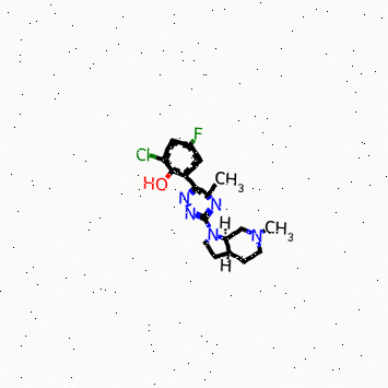 Cc1nc(N2CC[C@@H]3CCN(C)C[C@@H]32)nnc1-c1cc(F)cc(Cl)c1O